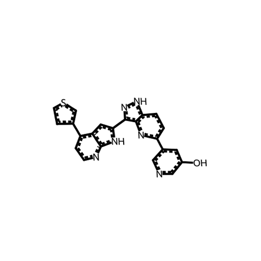 Oc1cncc(-c2ccc3[nH]nc(-c4cc5c(-c6ccsc6)ccnc5[nH]4)c3n2)c1